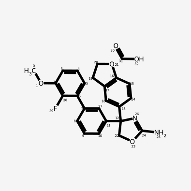 COc1cccc(-c2cccc(C3(c4ccc5c(c4)CCO5)COC(N)=N3)c2)c1F.O=CO